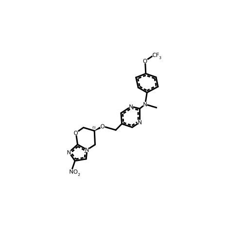 CN(c1ccc(OC(F)(F)F)cc1)c1ncc(CO[C@@H]2COc3nc([N+](=O)[O-])cn3C2)cn1